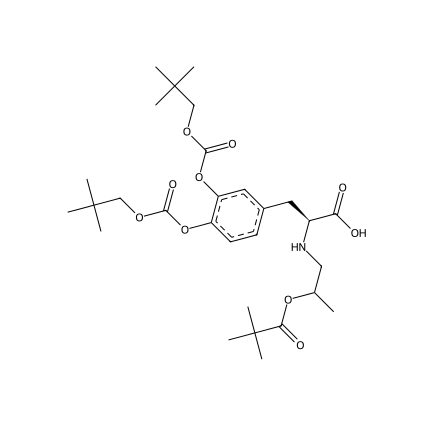 CC(CN[C@@H](Cc1ccc(OC(=O)OCC(C)(C)C)c(OC(=O)OCC(C)(C)C)c1)C(=O)O)OC(=O)C(C)(C)C